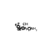 Cl.NC1CCC(CCN2CCN(c3noc4cc(F)c(F)cc34)CC2)CC1